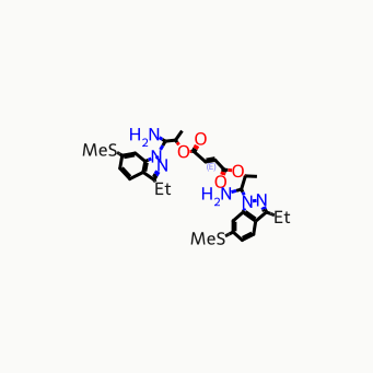 CCc1nn(C(N)C(C)OC(=O)/C=C/C(=O)OC(C)C(N)n2nc(CC)c3ccc(SC)cc32)c2cc(SC)ccc12